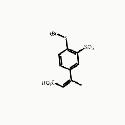 C/C(=C/C(=O)O)c1ccc(SC(C)(C)C)c([N+](=O)[O-])c1